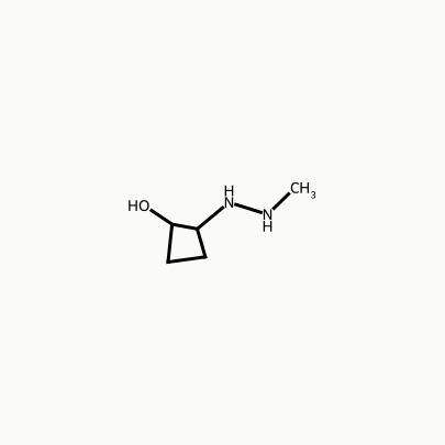 CNNC1CCC1O